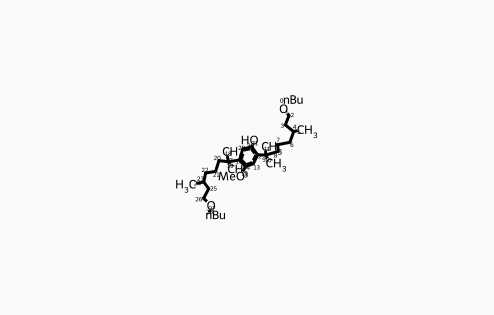 CCCCOCCC(C)CCCC(C)(C)c1cc(OC)c(C(C)(C)CCCC(C)CCOCCCC)cc1O